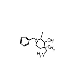 CC1(CN)CCN(Cc2ccccc2)C(I)C1O